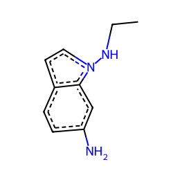 CCNn1ccc2ccc(N)cc21